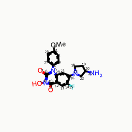 COc1ccc(-n2c(=O)n(O)c(=O)c3cc(F)c(N4CCC(N)C4)cc32)cc1